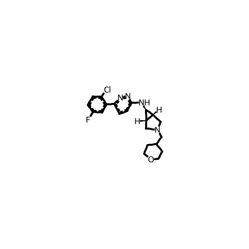 Fc1ccc(Cl)c(-c2ccc(N[C@H]3[C@@H]4CN(CC5CCOCC5)C[C@@H]43)nn2)c1